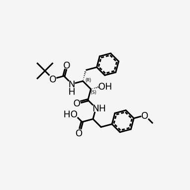 COc1ccc(CC(NC(=O)[C@@H](O)[C@@H](Cc2ccccc2)NC(=O)OC(C)(C)C)C(=O)O)cc1